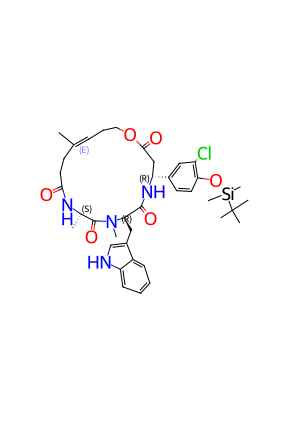 C/C1=C\CCOC(=O)C[C@H](c2ccc(O[Si](C)(C)C(C)(C)C)c(Cl)c2)NC(=O)[C@@H](Cc2c[nH]c3ccccc23)N(C)C(=O)[C@H](C)NC(=O)CC1